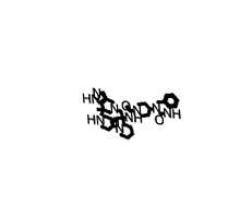 CC1(C)CN(CC(C=O)(NC(=O)N2CCC(N3Cc4ccccc4NC3=O)CC2)C2CCCCN2C2CCNCC2)Cc2cn[nH]c21